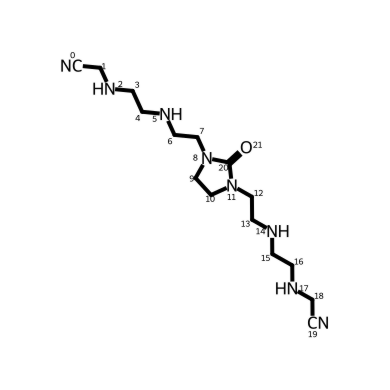 N#CCNCCNCCN1CCN(CCNCCNCC#N)C1=O